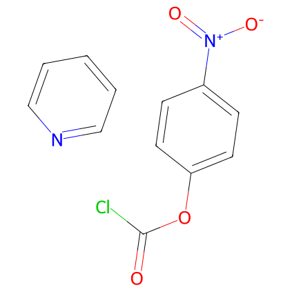 O=C(Cl)Oc1ccc([N+](=O)[O-])cc1.c1ccncc1